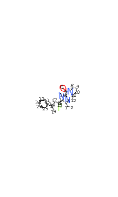 CCC1N=C(C(=O)N2CCCC2C)N=C1C(F)CC(C)c1ccccc1